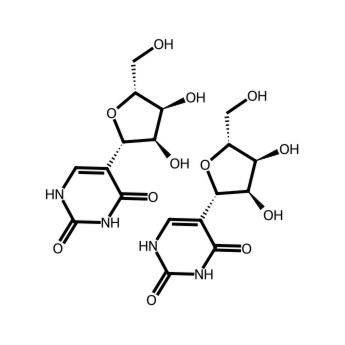 O=c1[nH]cc([C@@H]2O[C@H](CO)[C@@H](O)[C@H]2O)c(=O)[nH]1.O=c1[nH]cc([C@@H]2O[C@H](CO)[C@@H](O)[C@H]2O)c(=O)[nH]1